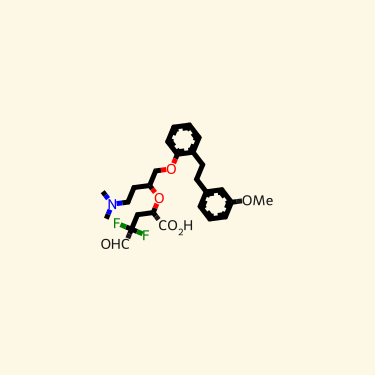 COc1cccc(CCc2ccccc2OCC(CCN(C)C)OC(CC(F)(F)C=O)C(=O)O)c1